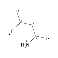 [CH2]C(N)CC([CH2])F